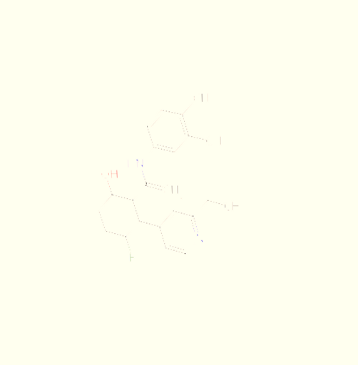 C=C(Nc1ccc(C)c(C)c1)C1C(O)CCC(F)C1c1ccnc(CC)c1